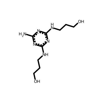 Nc1nc(NCCCO)nc(NCCCO)n1